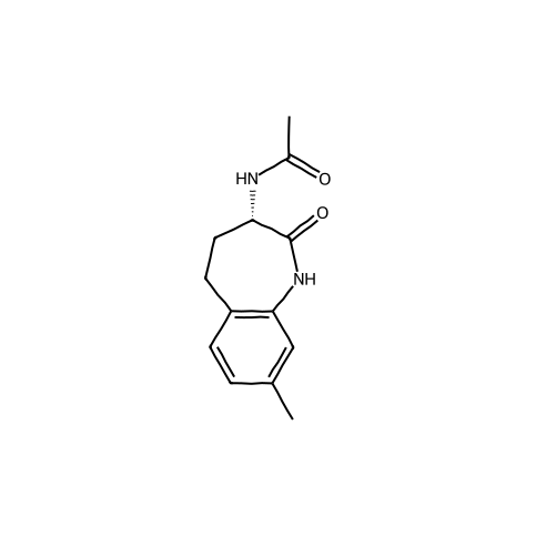 CC(=O)N[C@H]1CCc2ccc(C)cc2NC1=O